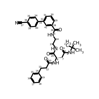 CC(C)(C)NC(=O)C[C@H](NC(=O)CCc1ccccc1)C(=O)NCCNC(=O)c1cccc(-c2ccc(C#N)cc2)c1